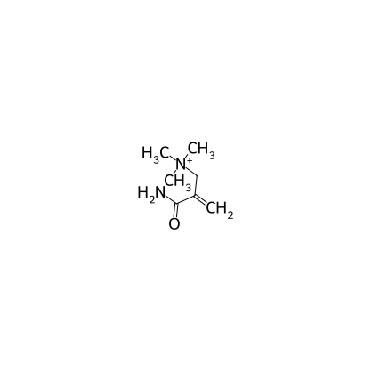 C=C(C[N+](C)(C)C)C(N)=O